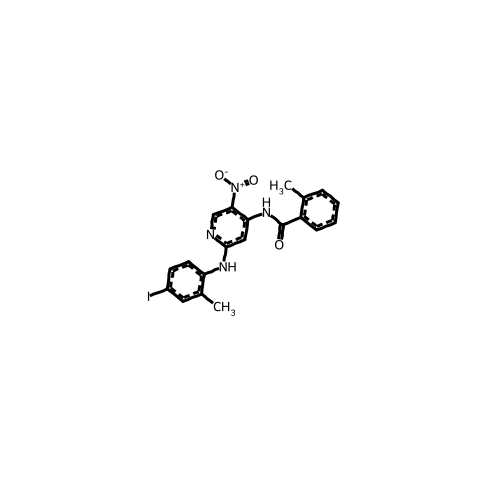 Cc1cc(I)ccc1Nc1cc(NC(=O)c2ccccc2C)c([N+](=O)[O-])cn1